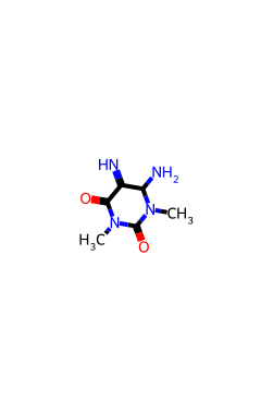 CN1C(=O)C(=N)C(N)N(C)C1=O